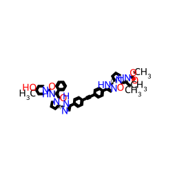 COC(=O)N[C@H](C(=O)N1CCC[C@H]1c1ncc(-c2ccc(C#Cc3ccc(-c4cnc([C@@H]5CCCN5C(=O)[C@H](NC(=O)N5CCC(C)(O)CC5)c5ccccc5)[nH]4)cc3)cc2)[nH]1)C(C)C